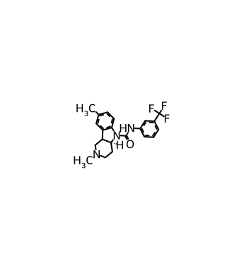 Cc1ccc2c(c1)C1CN(C)CC[C@@H]1N2C(=O)Nc1cccc(C(F)(F)F)c1